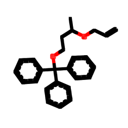 C=CCOC(C)CCOC(c1ccccc1)(c1ccccc1)c1ccccc1